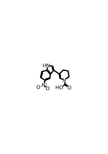 O=C(O)N1C=C(c2c[nH]c3ccc([N+](=O)[O-])cc23)CCC1